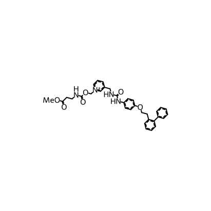 COC(=O)CCNC(=O)OC[n+]1cccc(CNC(=O)Nc2ccc(OCCc3ccccc3-c3ccccc3)cc2)c1